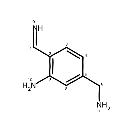 N=Cc1ccc(CN)cc1N